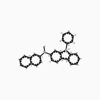 CN(c1ccc2ccccc2c1)c1ccc2c3ccccc3n(-c3ccccc3)c2c1